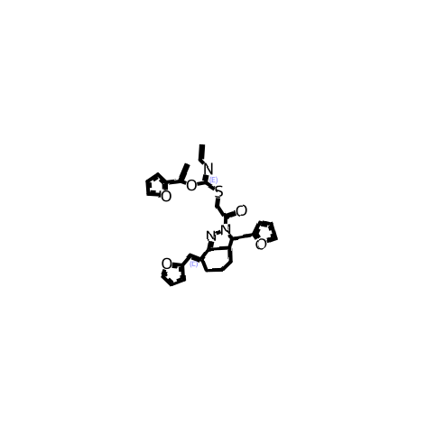 C=C/N=C(\OC(=C)c1ccco1)SCC(=O)N1N=C2/C(=C/c3ccco3)CCCC2C1c1ccco1